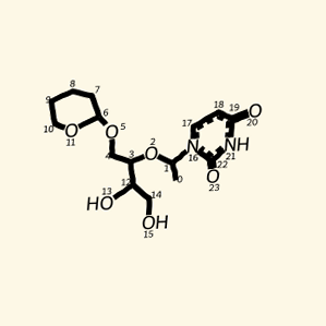 CC(OC(COC1CCCCO1)C(O)CO)n1ccc(=O)[nH]c1=O